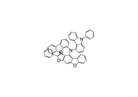 c1ccc(-c2nc3c(N(c4cccc5c4oc4ccccc45)c4cccc5c4c4ccccc4n5-c4ccccc4)c4c(cc3o2)oc2ccccc24)cc1